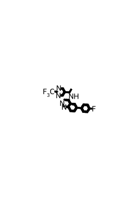 CC(Nc1cnnc2ccc(-c3ccc(F)cc3)cc12)c1cnc(C(F)(F)F)nc1